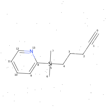 C#CCCC[Si](C)(C)c1ccccn1